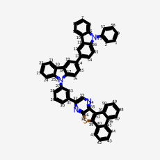 c1ccc(-n2c3ccccc3c3cc(-c4ccc5c(c4)c4ccccc4n5-c4cccc(-c5cnc6c(n5)sc5c7ccccc7c7ccccc7c65)c4)ccc32)cc1